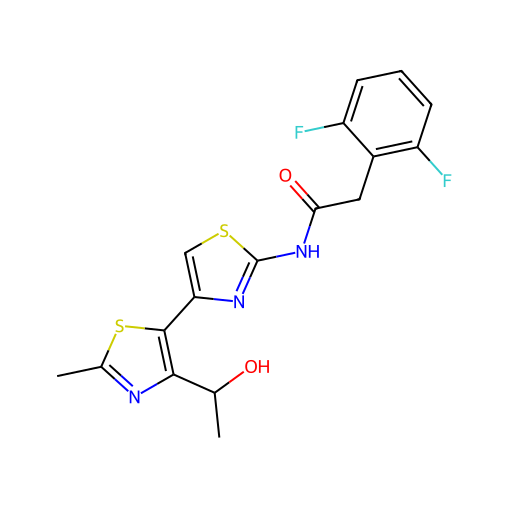 Cc1nc(C(C)O)c(-c2csc(NC(=O)Cc3c(F)cccc3F)n2)s1